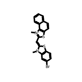 CN1/C(=C/c2sc3ccc4ccccc4c3[n+]2C)Sc2ccc(Br)cc21